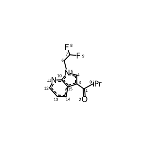 CC(C)C(=O)c1cn(CC(F)F)c2ncccc12